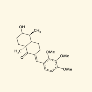 COc1ccc(/C=C2\CCC3[C@H](C)C(O)CC[C@]3(C)C2=O)c(OC)c1OC